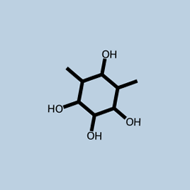 CC1C(O)C(C)C(O)C(O)C1O